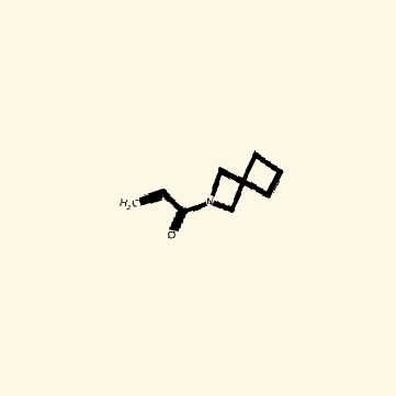 C=CC(=O)N1CC2(CCC2)C1